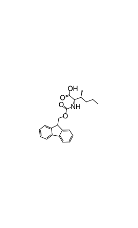 CCC[C@H](C)[C@@H](NC(=O)OCC1c2ccccc2-c2ccccc21)C(=O)O